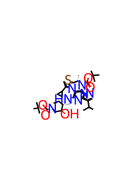 CC(C)c1cnn2c(N(C(=O)OC(C)(C)C)[C@@H](C)c3nc(C4CC4)cs3)cc(NC[C@H]3CCN(C(=O)OC(C)(C)C)C[C@@H]3O)nc12